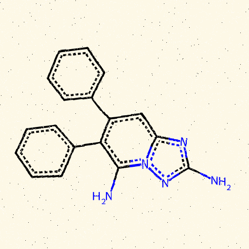 Nc1nc2cc(-c3ccccc3)c(-c3ccccc3)c(N)n2n1